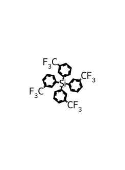 FC(F)(F)c1cccc([Si](c2cccc(C(F)(F)F)c2)(c2cccc(C(F)(F)F)c2)c2cccc(C(F)(F)F)c2)c1